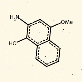 COc1cc(N)c(O)c2ccccc12